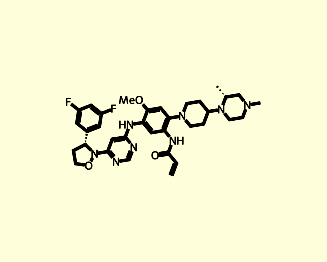 C=CC(=O)Nc1cc(Nc2cc(N3OCC[C@@H]3c3cc(F)cc(F)c3)ncn2)c(OC)cc1N1CCC(N2CCN(C)C[C@H]2C)CC1